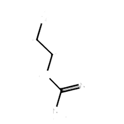 N=C(N)SCCBr